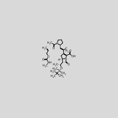 C=CCOC(=O)NC.CC(=O)N1CCC[C@H]1C=C(C)C1=C(C(=O)O)N2C(=O)[C@H]([C@@H](C)O[Si](C)(C)C(C)(C)C)[C@H]2C1